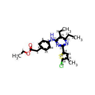 CCOC(=O)Cc1ccc(Nc2nc(-c3cc(C)c(Cl)s3)nc(CC)c2CC)cc1